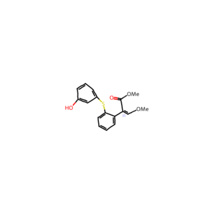 CO/C=C(\C(=O)OC)c1ccccc1Sc1cccc(O)c1